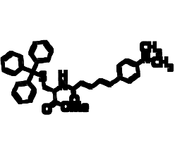 COC(=O)[C@@H](CSC(c1ccccc1)(c1ccccc1)c1ccccc1)NC(=O)/C=C/C=C/c1ccc(N(C)C)cc1